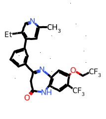 CCc1cnc(C)cc1-c1cccc(C2=Nc3cc(OCC(F)(F)F)c(C(F)(F)F)cc3NC(=O)C2)c1